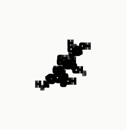 COc1cc(N/N=C2\C(=O)c3ccc(N)cc3C=C2S(=O)(=O)O)c(OC)cc1/N=N/c1ccc(O)cc1C